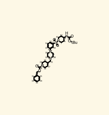 CC(C)(C)OC(=O)NC1CCN(S(=O)(=O)c2cccc(N3CCN(CC4CCN(C(=O)OCc5ccccc5)CC4)CC3)c2)CC1